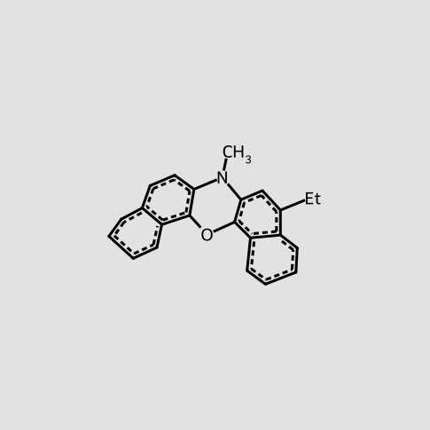 CCc1cc2c(c3ccccc13)Oc1c(ccc3ccccc13)N2C